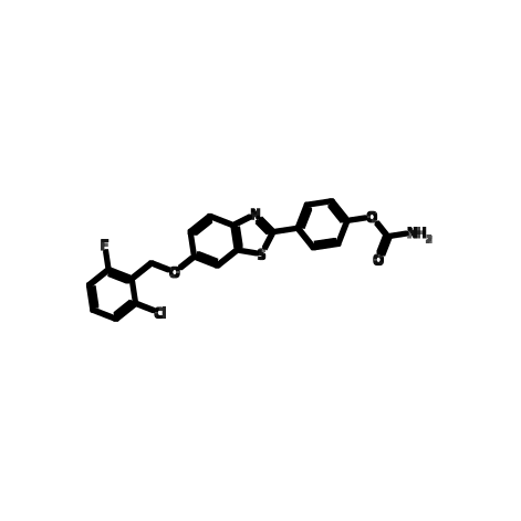 NC(=O)Oc1ccc(-c2nc3ccc(OCc4c(F)cccc4Cl)cc3s2)cc1